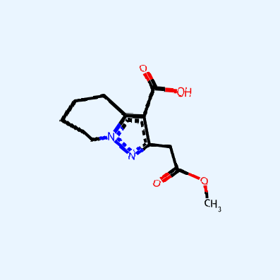 COC(=O)Cc1nn2c(c1C(=O)O)CCCC2